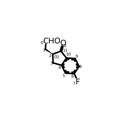 O=CC[C@@H]1Cc2cc(F)ccc2C1=O